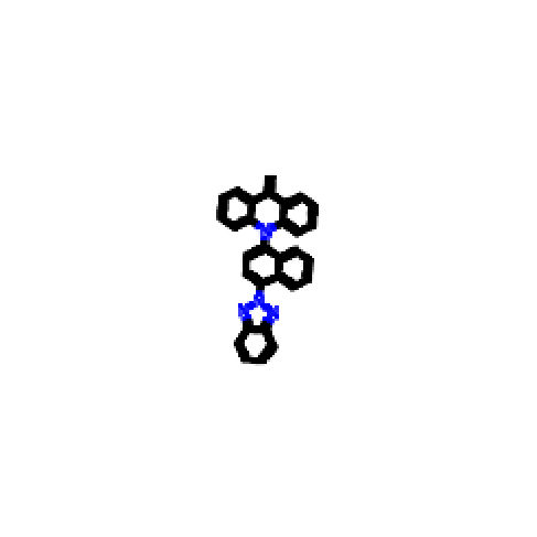 C=C1c2ccccc2N(c2ccc(-n3nc4ccccc4n3)c3ccccc23)c2ccccc21